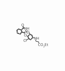 CCOC(=O)CCNc1cc(Cl)c(Oc2n[nH]c(=O)c3ccccc23)c(Cl)c1